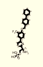 C[C@](N)(COP(=O)(O)O)c1nc(-c2ccc(OCc3ccc(-c4ccccc4)cc3)c(C(F)(F)F)c2)cs1